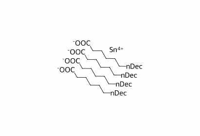 CCCCCCCCCCCCCCCC(=O)[O-].CCCCCCCCCCCCCCCC(=O)[O-].CCCCCCCCCCCCCCCC(=O)[O-].CCCCCCCCCCCCCCCC(=O)[O-].[Sn+4]